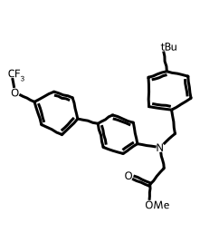 COC(=O)CN(Cc1ccc(C(C)(C)C)cc1)c1ccc(-c2ccc(OC(F)(F)F)cc2)cc1